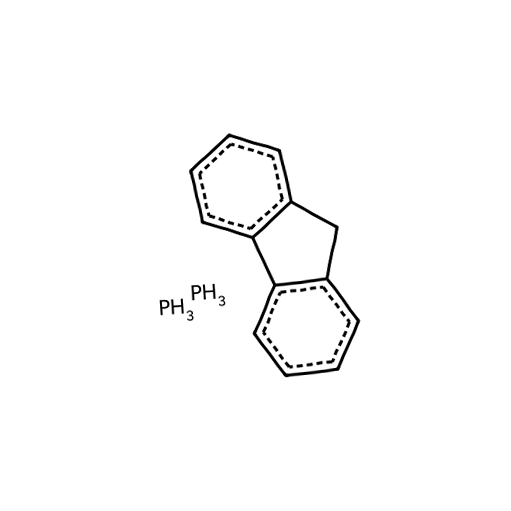 P.P.c1ccc2c(c1)Cc1ccccc1-2